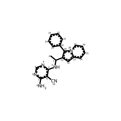 CC(Nc1ncnc(N)c1C#N)c1cc2ccccn2c1-c1ccccc1